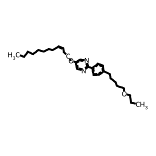 CCCCCCCC/C=C\CCOc1cnc(-c2ccc(CCCCCOCCC)cc2)nc1